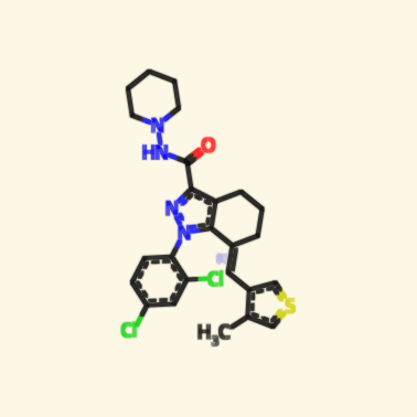 Cc1cscc1/C=C1\CCCc2c(C(=O)NN3CCCCC3)nn(-c3ccc(Cl)cc3Cl)c21